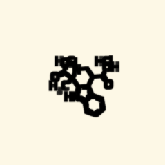 CN1CC(C(=O)O)c2c([nH]c3ccccc23)C1(C)C(=O)O.Cl